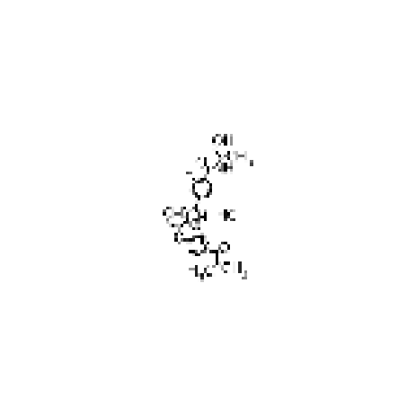 CCC(Oc1ccc(C(=O)C(C)C)nc1)c1nc(-c2ccc(C(=O)N[C@H](C)CO)c(F)c2)no1.Cl